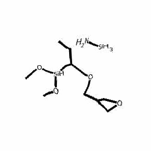 CCC(OCC1CO1)[SiH](OC)OC.N[SiH3]